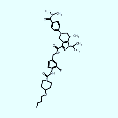 CC(C)n1nc(C(=O)NCc2ccc(NC(=O)N3CCC(OCCCF)CC3)c(F)c2)c2c1[C@@H](C)CN(c1ccc(C(=O)N(C)C)cc1)C2